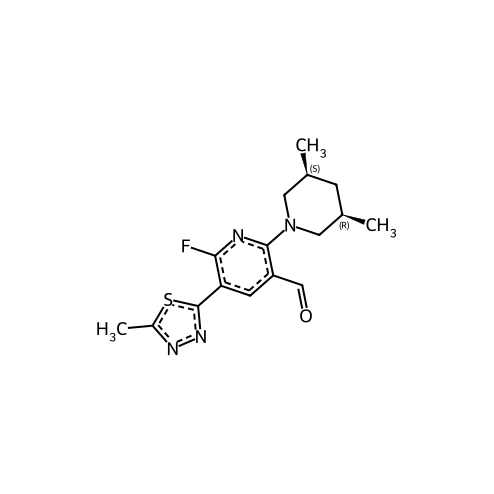 Cc1nnc(-c2cc(C=O)c(N3C[C@H](C)C[C@H](C)C3)nc2F)s1